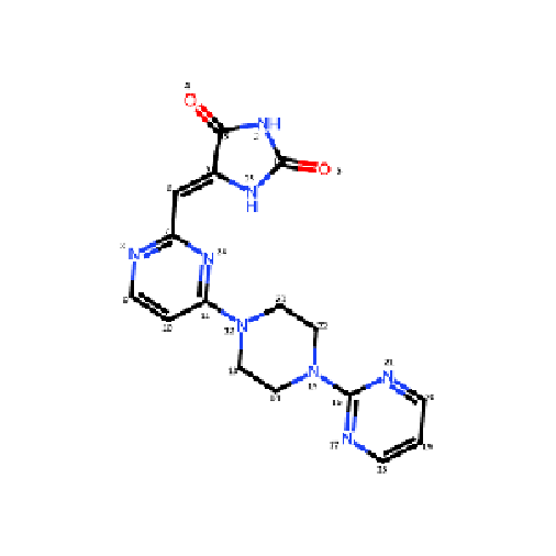 O=C1NC(=O)C(=Cc2nccc(N3CCN(c4ncccn4)CC3)n2)N1